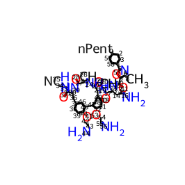 CCCCCc1ccc(-c2nc(C)c(C(=O)NC(CCN)C(=O)N(C)C3C(=O)NC(C)C(=O)NC(C(=O)NCC#N)Cc4ccc(OCCN)c(c4)-c4cc3ccc4OCCN)o2)cc1